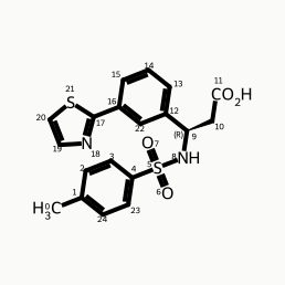 Cc1ccc(S(=O)(=O)N[C@H](CC(=O)O)c2cccc(-c3nccs3)c2)cc1